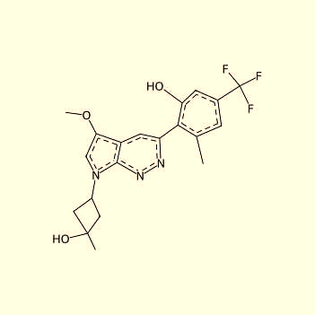 COc1cn(C2CC(C)(O)C2)c2nnc(-c3c(C)cc(C(F)(F)F)cc3O)cc12